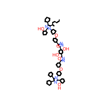 C=C(/C=C\C=C/C)c1c(-c2ccccc2)nc(-c2ccccc2O)n1-c1ccc(Oc2cccc(-c3nnc(-c4cc(O)c(-c5nnc(-c6cccc(Oc7ccc(-n8c(-c9ccccc9O)nc(-c9ccccc9)c8-c8ccccc8)cc7)c6)o5)cc4O)o3)c2)cc1